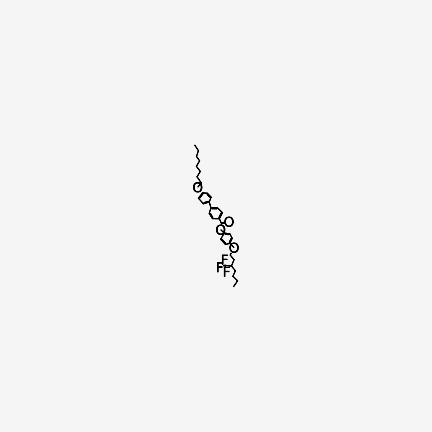 CCCCCCCCOc1ccc(-c2ccc(C(=O)Oc3ccc(OCCC(CCCC)C(F)(F)F)cc3)cc2)cc1